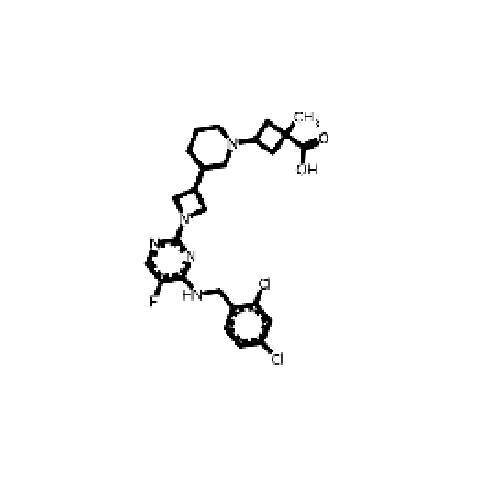 CC1(C(=O)O)CC(N2CCCC(C3CN(c4ncc(F)c(NCc5ccc(Cl)cc5Cl)n4)C3)C2)C1